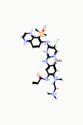 C=CC(=O)Nc1cc(Nc2ncc(F)c(Nc3ccc4nccnc4c3P(C)(C)=O)n2)c(OC)cc1N(C)CCN(C)C